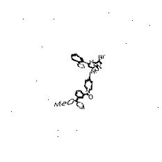 COC(=O)c1cccc(C(=O)N2CCC(CNc3cc(-c4ccccc4Cl)nc4c(Br)cnn34)CC2)c1